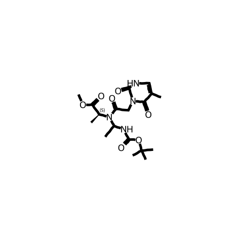 COC(=O)[C@H](C)N(C(=O)Cn1c(=O)[nH]cc(C)c1=O)C(C)NC(=O)OC(C)(C)C